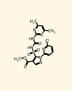 COC(=O)c1cnn(-c2cccc(Cl)n2)c1S(=O)(=O)NC(=O)Nc1nc(C)cc(C)n1